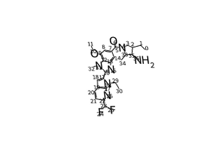 CCC1CN(C(=O)c2cc(OC)c3c(c2)nc(-c2cc4ccc(C(F)F)nc4n2CC)n3C)C(C)C1N